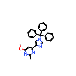 COc1cc(-c2cn(C(c3ccccc3)(c3ccccc3)c3ccccc3)cn2)nc(C)n1